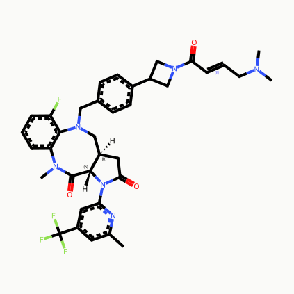 Cc1cc(C(F)(F)F)cc(N2C(=O)C[C@@H]3CN(Cc4ccc(C5CN(C(=O)/C=C/CN(C)C)C5)cc4)c4c(F)cccc4N(C)C(=O)[C@H]32)n1